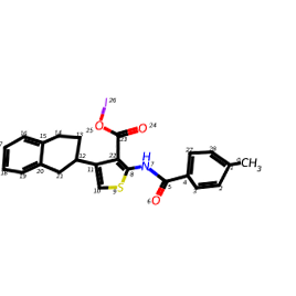 Cc1ccc(C(=O)Nc2scc(C3CCc4ccccc4C3)c2C(=O)OI)cc1